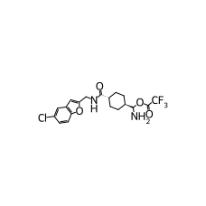 NC(OC(=O)C(F)(F)F)[C@H]1CC[C@H](C(=O)NCc2cc3cc(Cl)ccc3o2)CC1